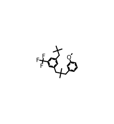 COc1cccc(CC(C)(C)Cc2cc(CC(C)(C)C)cc(C(F)(F)F)c2)c1